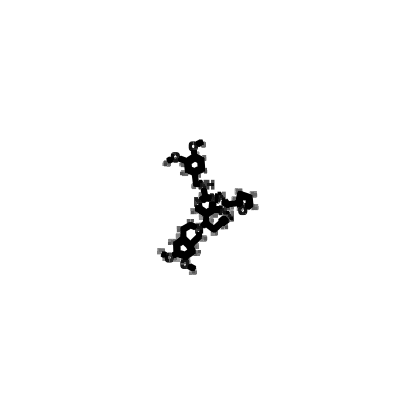 COc1ccc(CNc2ncc(C(CC#N)N3CCc4cc(OC)c(OC)cc4C3)c3nc(-c4ccco4)nn23)cc1OC